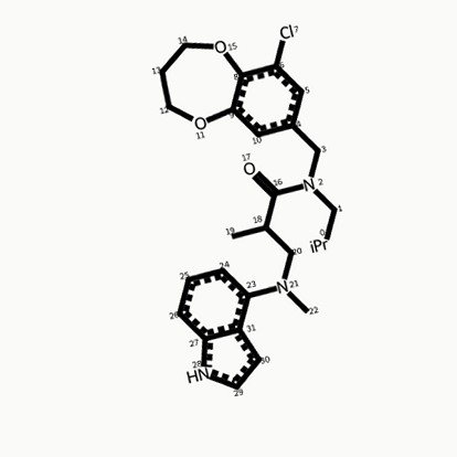 CC(C)CN(Cc1cc(Cl)c2c(c1)OCCCO2)C(=O)C(C)CN(C)c1cccc2[nH]ccc12